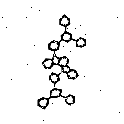 c1ccc(-c2cc(-c3ccccc3)cc(-c3cccc(-n4c5ccccc5c5c4ccc4c6ccccc6n(-c6cccc(-c7cc(-c8ccccc8)cc(-c8ccccc8)c7)c6)c45)c3)c2)cc1